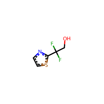 OCC(F)(F)c1nccs1